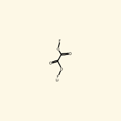 O=C(OF)C(=O)OF.[Li]